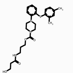 Cc1ccc(Sc2ccccc2N2CCN(C(=O)OCCCNC(=O)CCO)CC2)c(C)c1